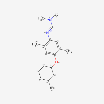 CCN(C)/C=N/c1cc(C)c(OC2CCCC(C(C)(C)C)C2)cc1C